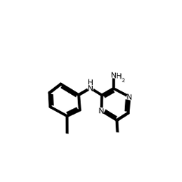 Cc1cccc(Nc2nc(C)cnc2N)c1